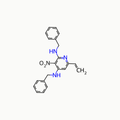 C=Cc1cc(NCc2ccccc2)c([N+](=O)[O-])c(NCc2ccccc2)n1